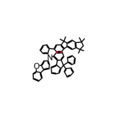 CC1(C)CC(C)(C)c2cc3c(cc21)-c1ccc(-c2ccccc2N(c2ccc4c(c2)oc2ccccc24)c2cccc4c2-c2ccccc2C4(c2ccccc2)c2ccccc2)cc1C3(C)C